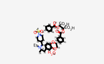 CCN(CC1CCN(S(C)(=O)=O)CC1)C(C)Cc1ccc2c(c1)OCCO2.O.O=C(O[C@@H](C(=O)O)[C@@H](OC(=O)c1ccccc1)C(=O)O)c1ccccc1